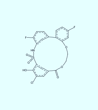 O=C1OCCOc2cc(F)ccc2-c2ccc(F)c(c2)NS(=O)(=O)c2cc1cc(Cl)c2O